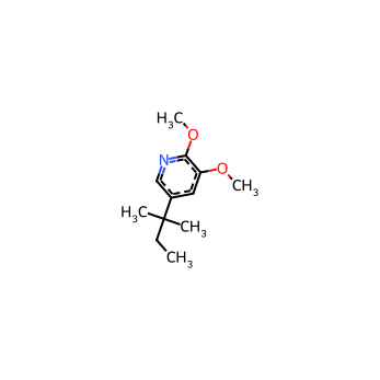 CCC(C)(C)c1cnc(OC)c(OC)c1